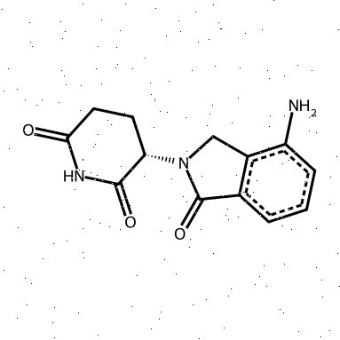 Nc1cccc2c1CN([C@H]1CCC(=O)NC1=O)C2=O